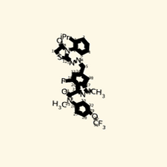 CC(C)c1ccccc1N1C(=O)CS/C1=N/N=C\c1cc(F)c2c(C(=O)N(C)c3ccc(OC(F)(F)F)cc3)nn(C)c2c1